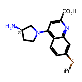 CC(C)Sc1ccc2c(N3CC[C@@H](N)C3)cc(C(=O)O)nc2c1